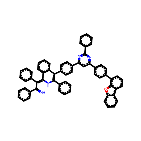 N=C(/C(=C1\NC(c2ccccc2)=C(c2ccc(-c3cc(-c4ccc(-c5cccc6c5oc5ccccc56)cc4)nc(-c4ccccc4)n3)cc2)c2ccccc21)c1ccccc1)c1ccccc1